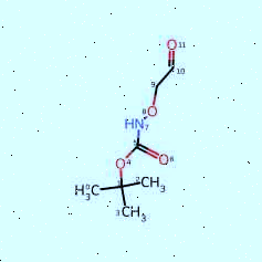 CC(C)(C)OC(=O)NOC[C]=O